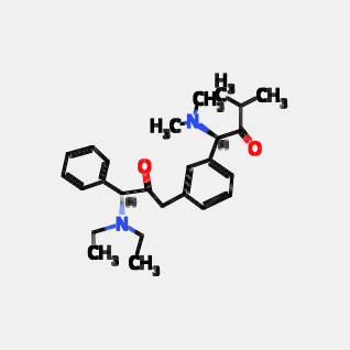 CCN(CC)[C@@H](C(=O)Cc1cccc([C@H](C(=O)C(C)C)N(C)C)c1)c1ccccc1